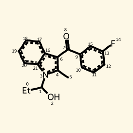 CCC(O)n1c(C)c(C(=O)c2cccc(F)c2)c2ccccc21